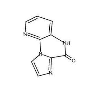 O=c1[nH]c2cccnc2n2ccnc12